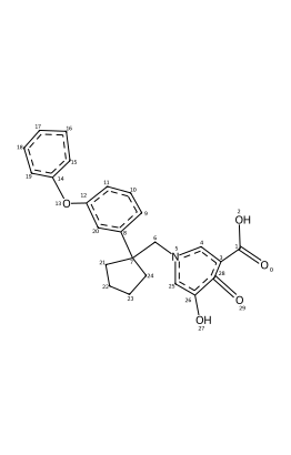 O=C(O)c1cn(CC2(c3cccc(Oc4ccccc4)c3)CCCC2)cc(O)c1=O